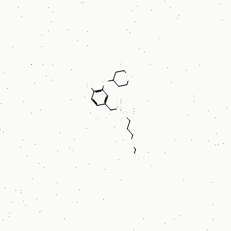 C[C@@H](NS(=O)(=O)CCCOCC(C)(C)C)c1ccc(F)c(OC2CCOCC2)c1